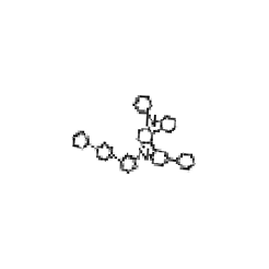 c1ccc(-c2ccc(-c3cccc(-n4c5ccc(-c6ccccc6)cc5c5c6c7ccccc7n(-c7ccccc7)c6ccc54)c3)cc2)cc1